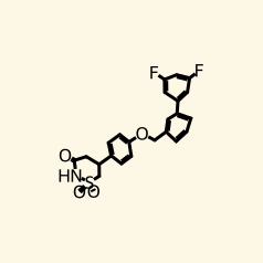 O=C1CC(c2ccc(OCc3cccc(-c4cc(F)cc(F)c4)c3)cc2)CS(=O)(=O)N1